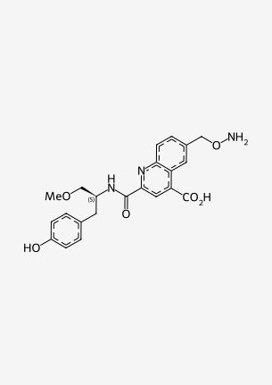 COC[C@H](Cc1ccc(O)cc1)NC(=O)c1cc(C(=O)O)c2cc(CON)ccc2n1